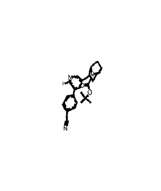 CC(C)(C)OC(=O)N1C2CCC1C(c1cnc(F)c(-c3ccc(C#N)cc3)c1)C2